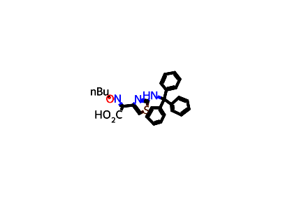 CCCCON=C(C(=O)O)c1csc(NC(c2ccccc2)(c2ccccc2)c2ccccc2)n1